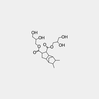 CC1C(C)C2CC1C1CC(C(=O)OCC(O)CO)C(C(=O)OCC(O)CO)C21